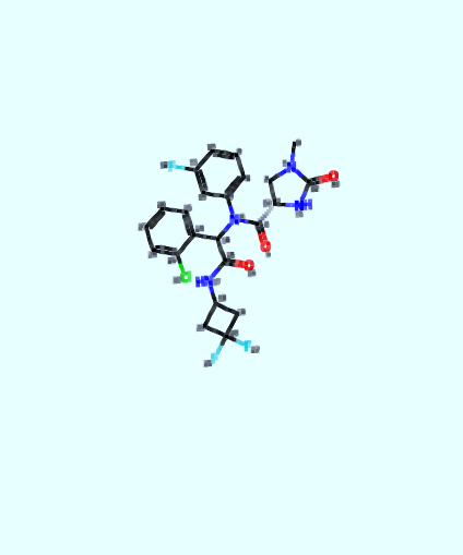 CN1C[C@@H](C(=O)N(c2cccc(F)c2)C(C(=O)NC2CC(F)(F)C2)c2ccccc2Cl)NC1=O